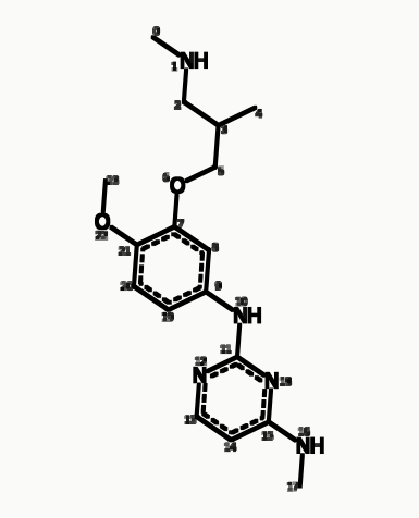 CNCC(C)COc1cc(Nc2nccc(NC)n2)ccc1OC